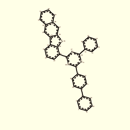 c1ccc(-c2ccc(-c3nc(-c4ccccc4)nc(-c4cccc5c4sc4cc6ccccc6cc45)n3)cc2)cc1